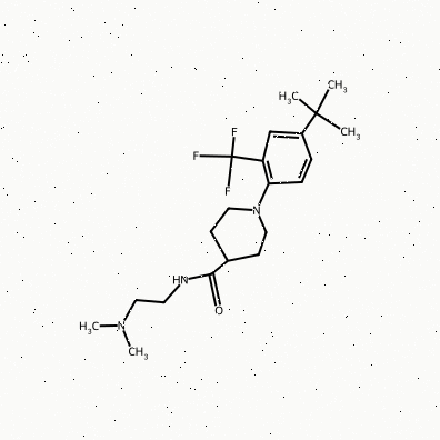 CN(C)CCNC(=O)C1CCN(c2ccc(C(C)(C)C)cc2C(F)(F)F)CC1